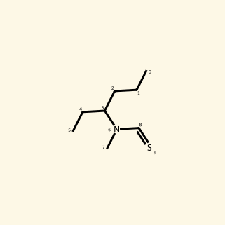 CCCC(CC)N(C)C=S